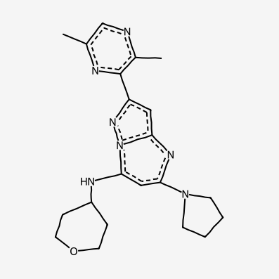 Cc1cnc(C)c(-c2cc3nc(N4CCCC4)cc(NC4CCOCC4)n3n2)n1